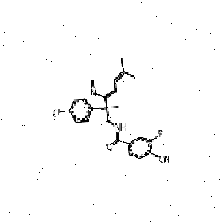 C=N/C(=C\C=C(C)C)C(C)(CNC(=O)c1ccc(C#N)c(F)c1)c1ccc(Cl)cc1